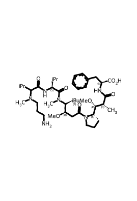 CC[C@H](C)C([C@@H](CC(=O)N1CCC[C@H]1[C@H](OC)[C@@H](C)C(=O)N[C@@H](Cc1ccccc1)C(=O)O)OC)N(C)C(=O)[C@@H](NC(=O)C(C(C)C)N(C)CCCN)C(C)C